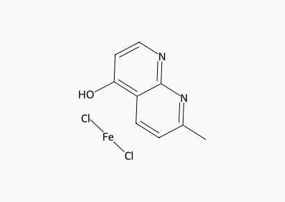 Cc1ccc2c(O)ccnc2n1.[Cl][Fe][Cl]